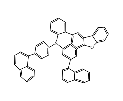 c1cc(-c2cccc3ccccc23)cc(N(c2ccc(-c3cccc4ccccc34)cc2)c2ccccc2-c2ccc3oc4ccccc4c3c2)c1